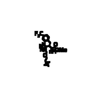 CCC[C@H](C(=O)OC)[C@H](Cc1ccc(C(F)(F)F)cc1)c1nnnn1COCC[Si](C)(C)C